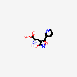 N[C@@H](Cc1c(O)noc1-c1cccnc1)C(=O)O